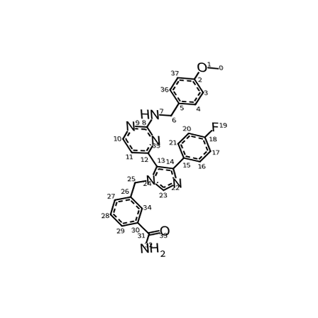 COc1ccc(CNc2nccc(-c3c(-c4ccc(F)cc4)ncn3Cc3cccc(C(N)=O)c3)n2)cc1